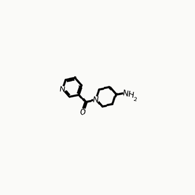 NC1CCN(C(=O)c2cccnc2)CC1